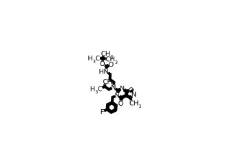 Cc1noc2nc(N(CCCNC(=O)OC(C)(C)C)CC(C)C)n(Cc3cccc(F)c3)c(=O)c12